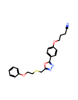 N#CCCCOc1ccc(-c2nnc(CSCCOc3ccccc3)o2)cc1